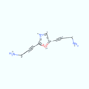 NCC#Cc1cnc(C#CCN)o1